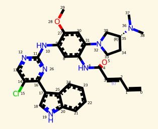 C=C/C=C/C(=O)Nc1cc(Nc2ncc(Cl)c(-c3c[nH]c4ccccc34)n2)c(OC)cc1N1CC[C@@H](N(C)C)C1